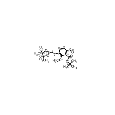 COc1c(CCB2OC(C)(C)C(C)(C)O2)ccc(C=O)c1C(=O)OC(C)(C)C